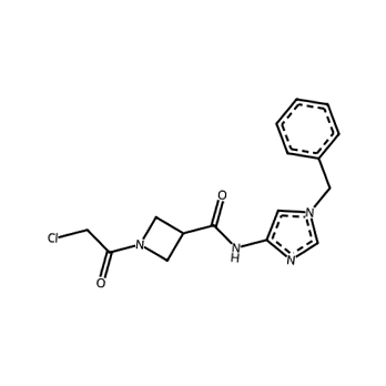 O=C(Nc1cn(Cc2ccccc2)cn1)C1CN(C(=O)CCl)C1